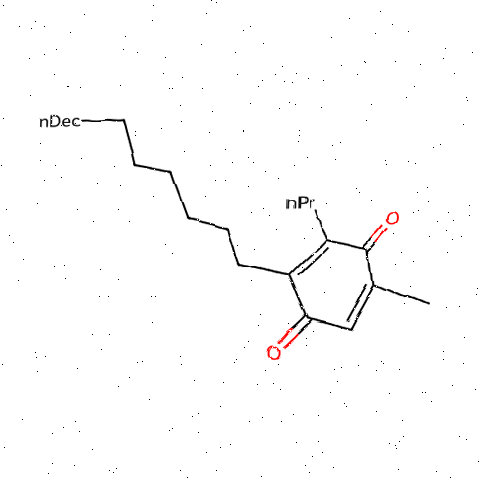 CCCCCCCCCCCCCCCCC1=C(CCC)C(=O)C(C)=CC1=O